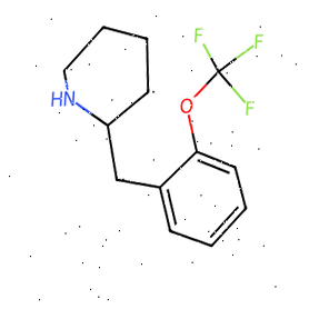 FC(F)(F)Oc1ccccc1CC1[CH]CCCN1